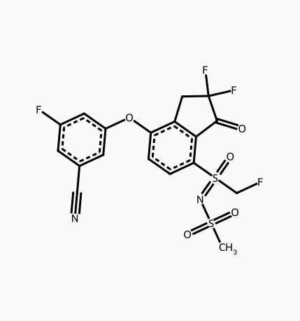 CS(=O)(=O)N=S(=O)(CF)c1ccc(Oc2cc(F)cc(C#N)c2)c2c1C(=O)C(F)(F)C2